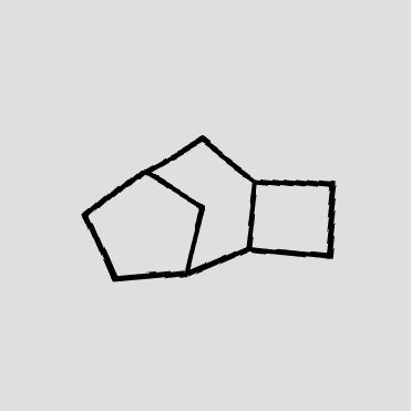 C1CC2CC1CC1CCC21